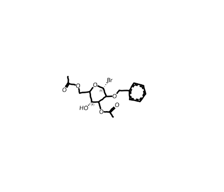 CC(=O)OCC1O[C@H](Br)C(OCc2ccccc2)C(OC(C)=O)[C@@H]1O